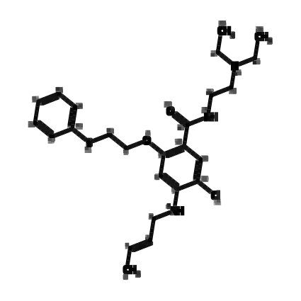 C/C=C/CNc1cc(OCCSc2ccccc2)c(C(=O)NCCN(CC)CC)cc1Cl